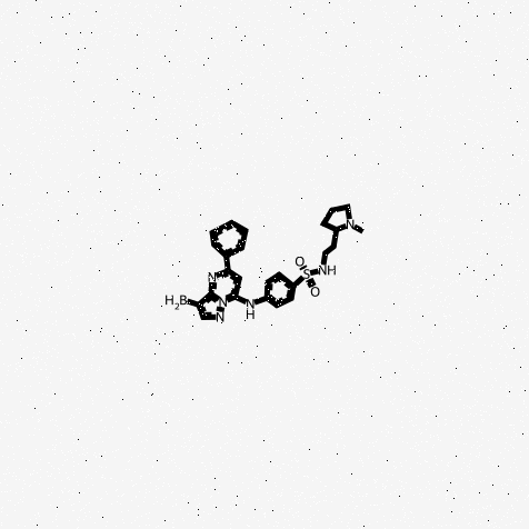 Bc1cnn2c(Nc3ccc(S(=O)(=O)NCCC4CCCN4C)cc3)cc(-c3ccccc3)nc12